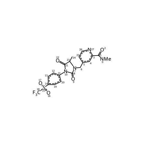 CNC(=O)c1cc(CN2C(=O)N(c3ccc(S(=O)(=O)C(F)(F)F)cc3)C(=O)C2C)ccn1